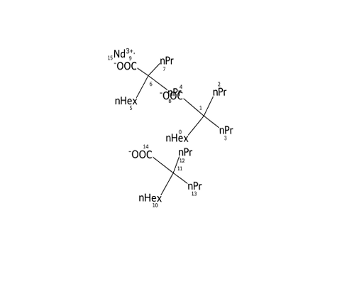 CCCCCCC(CCC)(CCC)C(=O)[O-].CCCCCCC(CCC)(CCC)C(=O)[O-].CCCCCCC(CCC)(CCC)C(=O)[O-].[Nd+3]